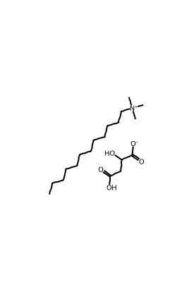 CCCCCCCCCCCC[N+](C)(C)C.O=C(O)CC(O)C(=O)[O-]